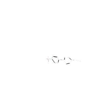 CCOC(=O)C(C)(O)c1ccc(-c2ccc(OC)cc2)cc1